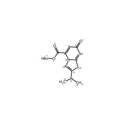 CCCCOC(=O)c1cc(=O)nc2sc(N(C)C)nn12